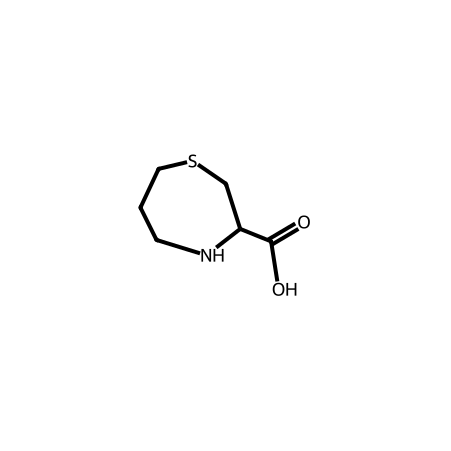 O=C(O)C1CSCCCN1